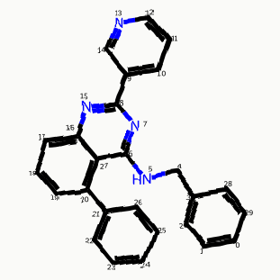 c1ccc(CNc2nc(-c3cccnc3)nc3cccc(-c4ccccc4)c23)cc1